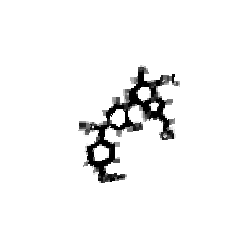 CCC1CN(C(C)c2ccc(OC)cc2)CCN1c1cc(=O)n(C)n2cc(CC#N)nc12